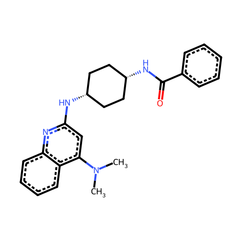 CN(C)c1cc(N[C@H]2CC[C@@H](NC(=O)c3ccccc3)CC2)nc2ccccc12